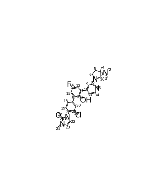 CN(C)C1(C)CCN(c2cc(-c3cc(F)cc(-c4ccc(-n5ccn(C)c5=O)c(Cl)c4)c3O)ccn2)C1